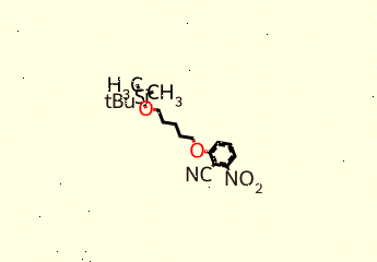 CC(C)(C)[Si](C)(C)OCCCCCOc1cccc([N+](=O)[O-])c1C#N